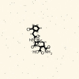 NC(=O)C1=C(C(=O)O)N2C(=O)C(NC(=O)Cc3ccccc3Cl)[C@H]2SC1